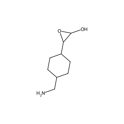 NCC1CCC(C2OC2O)CC1